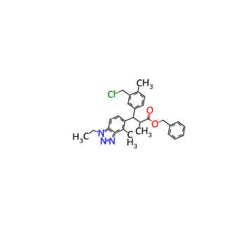 CCn1nnc2c(C)c(C(c3ccc(C)c(CCl)c3)C(C)C(=O)OCc3ccccc3)ccc21